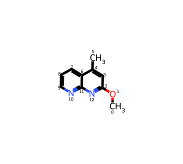 COc1cc(C)c2cccnc2n1